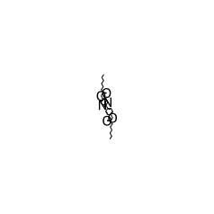 CCCCCCC(=O)Oc1ccc(-c2ncc(OC(=O)CCCCCC)cn2)cc1